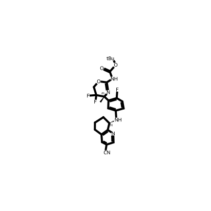 CC(C)(C)OC(=O)NC1=N[C@](C)(c2cc(N[C@H]3CCCc4cc(C#N)cnc43)ccc2F)C(F)(F)CO1